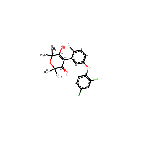 CCc1ccc(Oc2ccc(Cl)cc2F)cc1C1=C(O)C(C)(C)OC(C)(C)C1=O